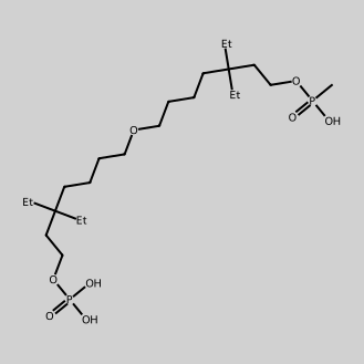 CCC(CC)(CCCCOCCCCC(CC)(CC)CCOP(=O)(O)O)CCOP(C)(=O)O